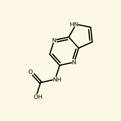 O=C(O)Nc1cnc2[nH]ccc2n1